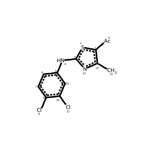 CC(=O)c1sc(Nc2ccc(Cl)c(Cl)c2)nc1C